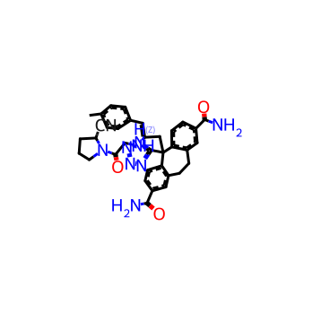 Cc1ccc(/C=C(/CC2(c3nnn[nH]3)c3ccc(C(N)=O)cc3CCc3cc(C(N)=O)ccc32)NCC(=O)N2CCCC2C#N)cc1